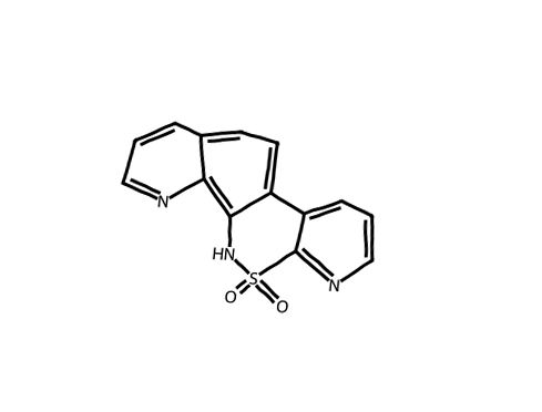 O=S1(=O)Nc2c(ccc3cccnc23)-c2cccnc21